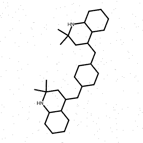 CC1(C)CC(CC2CCC(CC3CC(C)(C)NC4CCCCC34)CC2)C2CCCCC2N1